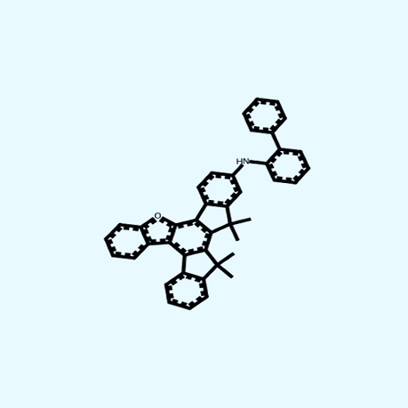 CC1(C)c2cc(Nc3ccccc3-c3ccccc3)ccc2-c2c1c1c(c3c2oc2ccccc23)-c2ccccc2C1(C)C